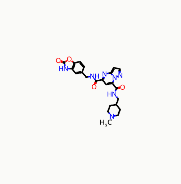 CN1CCC(CNC(=O)c2cc(C(=O)NCc3ccc4oc(=O)[nH]c4c3)nc3ccnn23)CC1